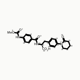 COC(=O)Nc1ccc(C(=O)N[C@@H](Cc2ccc(N3CCCCC3=O)cc2)C(=O)O)cc1